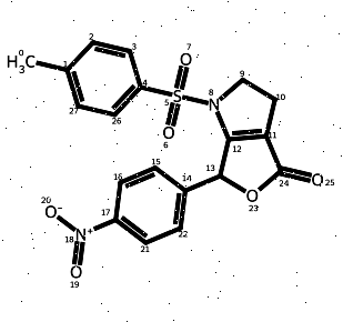 Cc1ccc(S(=O)(=O)N2CCC3=C2C(c2ccc([N+](=O)[O-])cc2)OC3=O)cc1